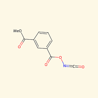 COC(=O)c1cccc(C(=O)ON=C=O)c1